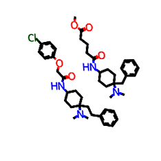 CN(C)C1(CCc2ccccc2)CCC(NC(=O)COc2ccc(Cl)cc2)CC1.COC(=O)CCCC(=O)NC1CCC(Cc2ccccc2)(N(C)C)CC1